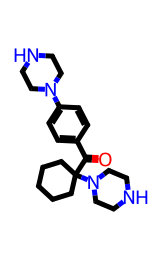 O=C(c1ccc(N2CCNCC2)cc1)C1(N2CCNCC2)CCCCC1